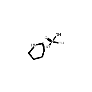 C1CCNCC1.O=P(O)(O)O